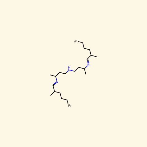 CC(C)CCCC(C)C=NC(C)CCNCCC(C)N=CC(C)CCCC(C)C